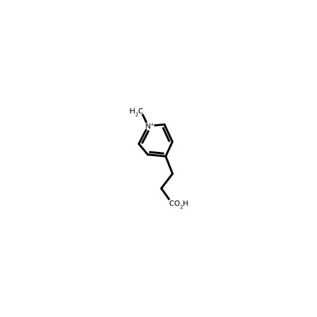 [CH2][n+]1ccc(CCC(=O)O)cc1